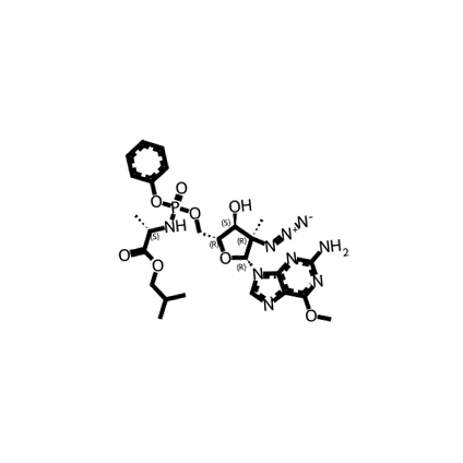 COc1nc(N)nc2c1ncn2[C@@H]1O[C@H](COP(=O)(N[C@@H](C)C(=O)OCC(C)C)Oc2ccccc2)[C@@H](O)[C@@]1(C)N=[N+]=[N-]